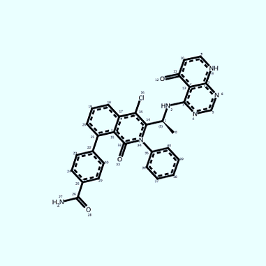 C[C@H](Nc1ncnc2[nH]ccc(=O)c12)c1c(Cl)c2cccc(-c3ccc(C(N)=O)cc3)c2c(=O)n1-c1ccccc1